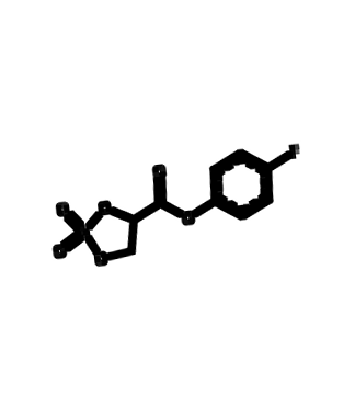 O=C(Oc1ccc(F)cc1)C1COS(=O)(=O)O1